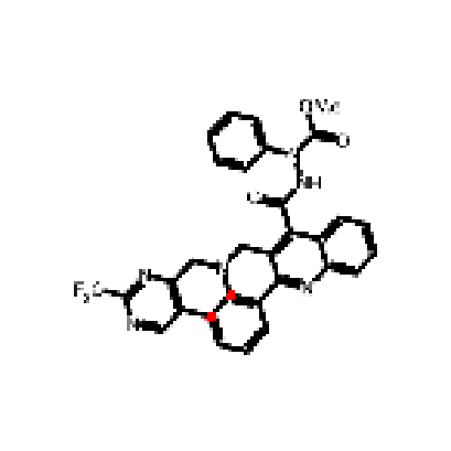 COC(=O)N(NC(=O)c1c(CN2CCc3cnc(C(F)(F)F)nc3C2)c(-c2ccccc2)nc2ccccc12)c1ccccc1